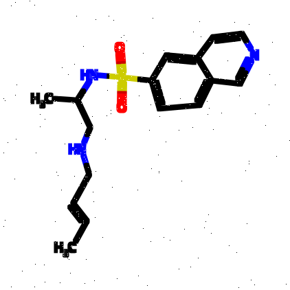 CC=CCNCC(C)NS(=O)(=O)c1ccc2cnccc2c1